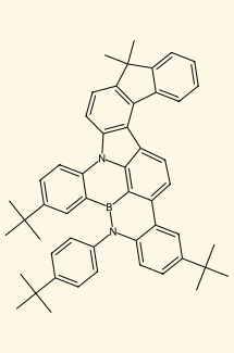 CC(C)(C)c1ccc(N2B3c4cc(C(C)(C)C)ccc4-n4c5ccc6c(c5c5ccc(c3c54)-c3cc(C(C)(C)C)ccc32)-c2ccccc2C6(C)C)cc1